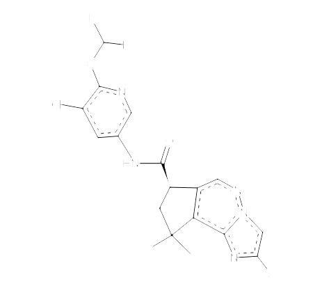 CC1(C)C[C@@H](C(=O)Nc2cnc(OC(F)F)c(Cl)c2)c2cnn3cc(Cl)nc3c21